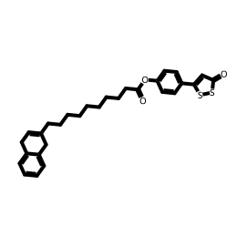 O=C(CCCCCCCCCC1=CCc2ccccc2C1)Oc1ccc(-c2cc(=O)ss2)cc1